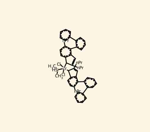 CCCC1=Cc2c(ccc(CCC)c2-c2ccccc2-c2ccccc2)[CH]1[Zr]([Cl])([Cl])([CH]1C(CCC)=Cc2c1ccc(CCC)c2-c1ccccc1-c1ccccc1)[SiH](C)C